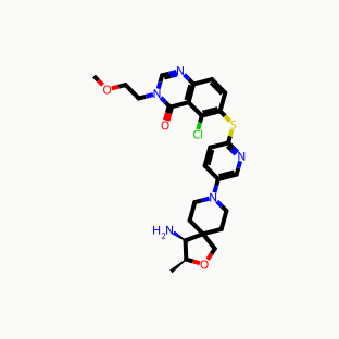 COCCn1cnc2ccc(Sc3ccc(N4CCC5(CC4)CO[C@@H](C)[C@H]5N)cn3)c(Cl)c2c1=O